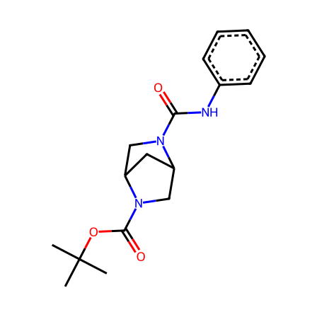 CC(C)(C)OC(=O)N1CC2CC1CN2C(=O)Nc1ccccc1